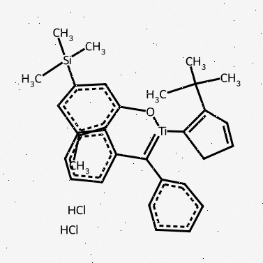 Cc1cc([O][Ti]([C]2=C(C(C)(C)C)C=CC2)=[C](c2ccccc2)c2ccccc2)cc([Si](C)(C)C)c1.Cl.Cl